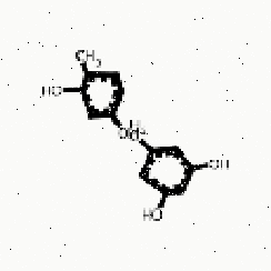 Cc1cc(O)cc(O)c1.Cc1ccc(O)cc1O